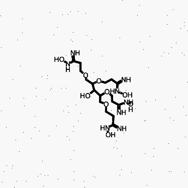 N=C(CCOCC(OCCC(=N)NO)C(O)C(COCCC(=N)NO)OCCC(=N)NO)NO